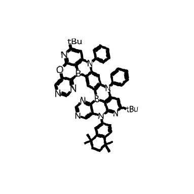 CC(C)(C)c1cc2c3c(n1)Oc1cncnc1B3c1cc3c(cc1N2c1ccccc1)N(c1ccccc1)c1cc(C(C)(C)C)nc2c1B3c1ncncc1N2c1ccc2c(c1)C(C)(C)CCC2(C)C